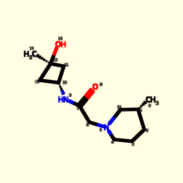 C[C@@H]1CCCN(CC(=O)N[C@H]2C[C@](C)(O)C2)C1